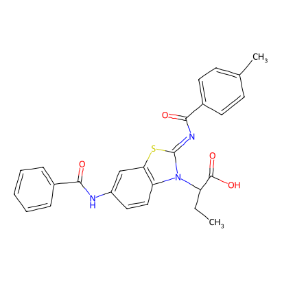 CCC(C(=O)O)n1/c(=N/C(=O)c2ccc(C)cc2)sc2cc(NC(=O)c3ccccc3)ccc21